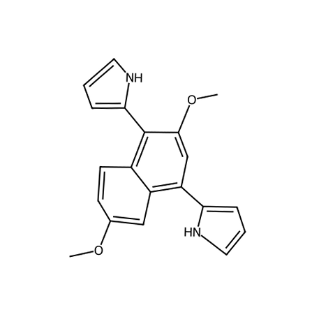 COc1ccc2c(-c3ccc[nH]3)c(OC)cc(-c3ccc[nH]3)c2c1